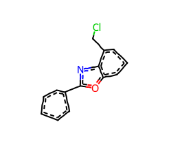 ClCc1cccc2oc(-c3ccccc3)nc12